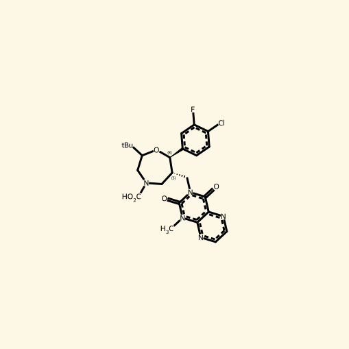 Cn1c(=O)n(C[C@@H]2CN(C(=O)O)CC(C(C)(C)C)O[C@H]2c2ccc(Cl)c(F)c2)c(=O)c2nccnc21